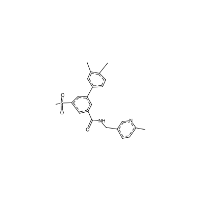 Cc1ccc(CNC(=O)c2cc(-c3ccc(C)c(C)c3)cc(S(C)(=O)=O)c2)cn1